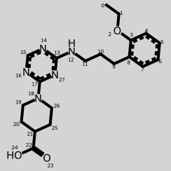 CCOc1ccccc1CCCNc1ncnc(N2CCC(C(=O)O)CC2)n1